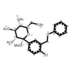 CO[C@@]1(c2ccc(Cl)c(COc3ccccc3)c2)O[C@H](COC(C)=O)[C@@H](OC(C)=O)[C@H](OC(C)=O)[C@H]1OC(C)=O